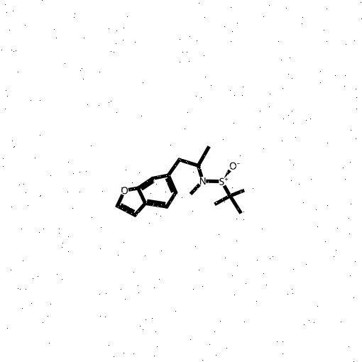 CC(Cc1ccc2ccoc2c1)N(C)[S@@+]([O-])C(C)(C)C